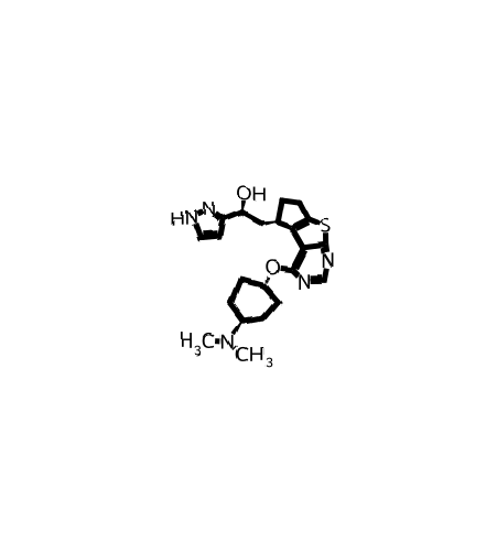 CN(C)[C@H]1CC[C@H](Oc2ncnc3sc4c(c23)[C@@H](C[C@H](O)c2cc[nH]n2)CC4)CC1